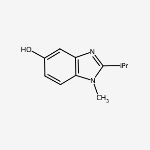 CC(C)c1nc2cc(O)ccc2n1C